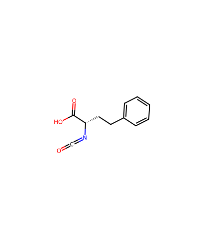 O=C=N[C@@H](CCc1ccccc1)C(=O)O